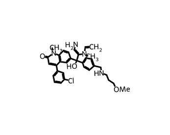 C=CN(C)/C(=C\N)C(O)(c1ccc(CNCCCOC)cc1)c1ccc2c(c1)c(-c1cccc(Cl)c1)cc(=O)n2C